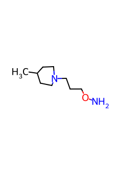 CC1CCN(CCCON)CC1